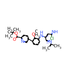 C=C(C)/N=C/C(=C\C(=N)Cl)Nc1cccc(-c2ccc(C(=O)OC(C)(C)C)nc2)c1OC